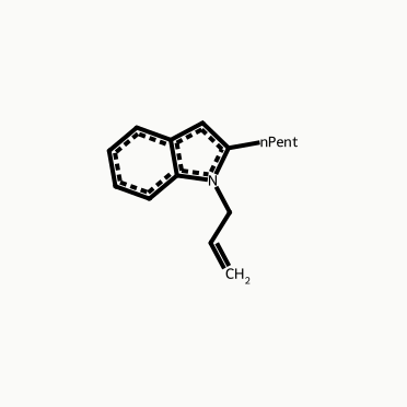 C=CCn1c(CCCCC)cc2ccccc21